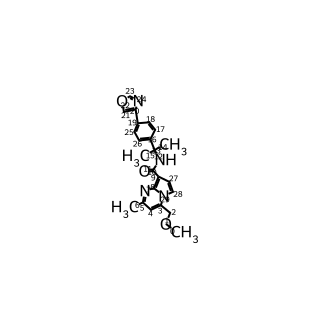 COCc1cc(C)nc2c(C(=O)NC(C)(C)c3ccc(-c4cocn4)cc3)ccn12